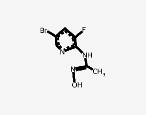 CC(=NO)Nc1ncc(Br)cc1F